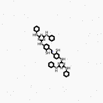 Sc1cc(Nc2nc(Nc3ccccc3)nc(Nc3ccccc3)n2)ccc1/C=C/c1ccc(Nc2nc(Nc3ccccc3)nc(Nc3ccccc3)n2)cc1S